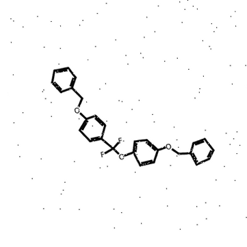 FC(F)(Oc1ccc(OCc2ccccc2)cc1)c1ccc(OCc2ccccc2)cc1